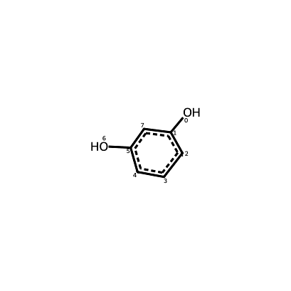 Oc1[c]ccc(O)c1